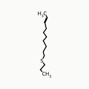 CC=CCCCCCCCSCCC